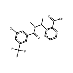 CC(c1nccnc1C(=O)O)N(C)C(=O)c1cc(Cl)cc(C(F)(F)F)c1